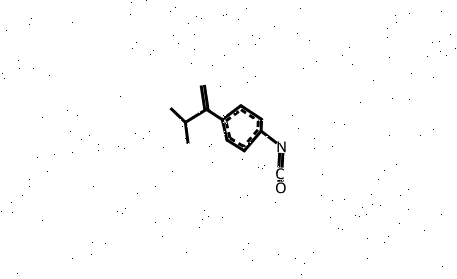 C=C(c1ccc(N=C=O)cc1)C(C)C